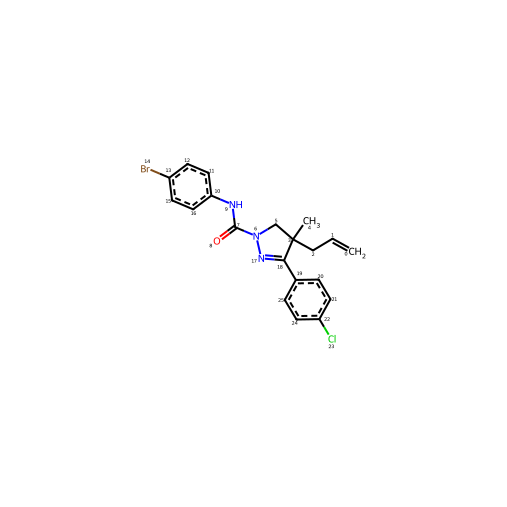 C=CCC1(C)CN(C(=O)Nc2ccc(Br)cc2)N=C1c1ccc(Cl)cc1